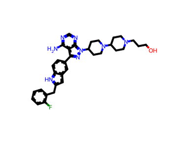 Nc1ncnc2c1c(-c1ccc3[nH]c(Cc4ccccc4F)cc3c1)nn2C1CCN(C2CCN(CCCO)CC2)CC1